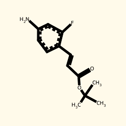 CC(C)(C)OC(=O)/C=C/c1ccc(N)cc1F